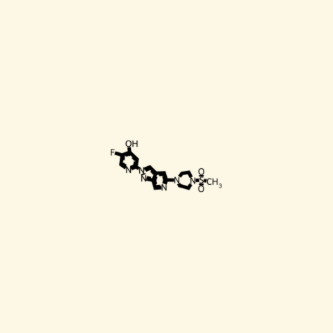 CS(=O)(=O)N1CCN(c2cc3cn(-c4cc(O)c(F)cn4)nc3cn2)CC1